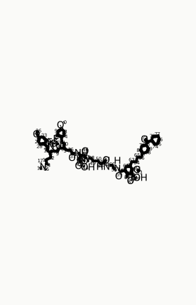 COc1ccc(C2=[N+]3C(=Cc4c(CCC[N+](C)(C)C)cc(-c5ccc(OC)cc5)n4[B-]3(F)F)C(CCC(=O)NC(CS(=O)(=O)O)C(=O)NCCCCC(=O)NCCNC(=O)c3cc(CCCCc4ccc(C(=O)c5ccccc5)cc4)c(OC)c4c3COB4O)=C2)cc1